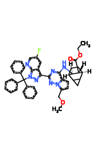 CCOC(=O)[C@H]1[C@H](Nc2nc(-c3nn(C(c4ccccc4)(c4ccccc4)c4ccccc4)c4ncc(F)cc34)nn3c(COC)ccc23)[C@@H]2CC[C@H]1C1CC12